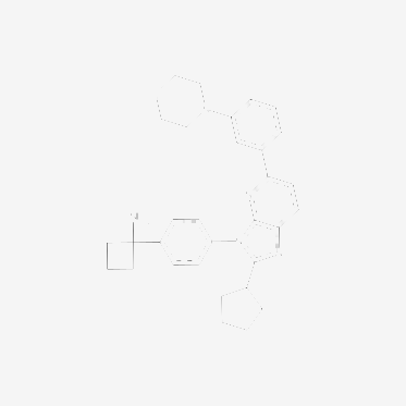 NC1(c2ccc(-n3c(C4CCCC4)nc4ccc(-c5cccc(N6CCOCC6)c5)nc43)cc2)CCC1